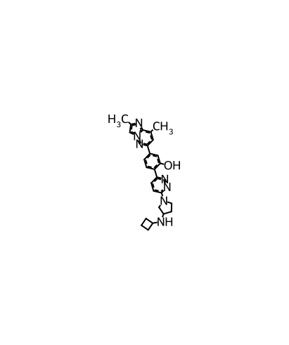 Cc1cn2nc(-c3ccc(-c4ccc(N5CCC(NC6CCC6)C5)nn4)c(O)c3)cc(C)c2n1